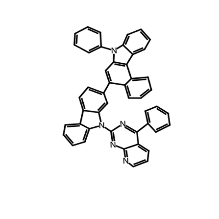 c1ccc(-c2nc(-n3c4ccccc4c4ccc(-c5cc6c(c7ccccc57)c5ccccc5n6-c5ccccc5)cc43)nc3ncccc23)cc1